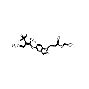 C=C/C(=C(/C)Oc1ccc2c(cnn2CCC(=O)OCC)c1)C(F)(F)F